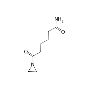 NC(=O)CCCCC(=O)N1CC1